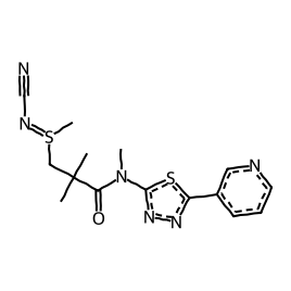 CN(C(=O)C(C)(C)C/S(C)=N/C#N)c1nnc(-c2cccnc2)s1